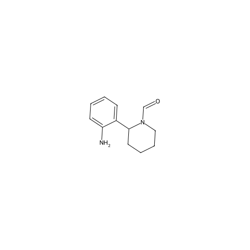 Nc1ccccc1C1CCCCN1C=O